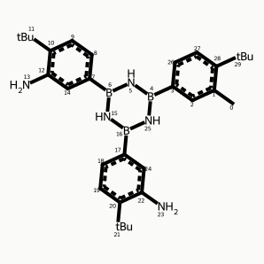 Cc1cc(B2NB(c3ccc(C(C)(C)C)c(N)c3)NB(c3ccc(C(C)(C)C)c(N)c3)N2)ccc1C(C)(C)C